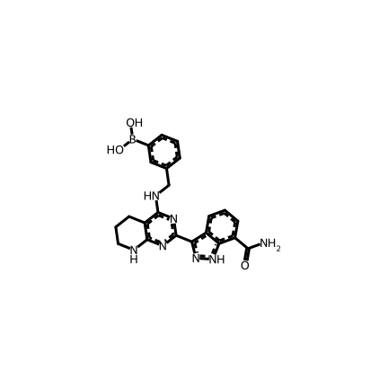 NC(=O)c1cccc2c(-c3nc4c(c(NCc5cccc(B(O)O)c5)n3)CCCN4)n[nH]c12